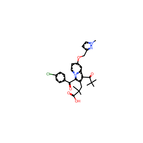 Cn1ccc(COc2ccn3c(C(=O)c4ccc(Cl)cc4)c(CC(C)(C)C(=O)O)c(C(=O)C(C)(C)C)c3c2)n1